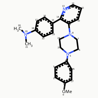 COc1ccc(N2CCN(c3cccnc3-c3ccc(N(C)C)cc3)CC2)cc1